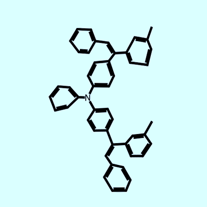 Cc1cccc(C(=Cc2ccccc2)c2ccc(N(c3ccccc3)c3ccc(C(=Cc4ccccc4)c4cccc(C)c4)cc3)cc2)c1